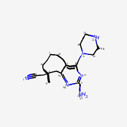 CC1(C#N)CCCc2c(N3CCNCC3)nc(N)nc21